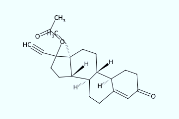 C#CC1(OC(C)=O)CC[C@H]2[C@@H]3CCC4=CC(=O)CC[C@@H]4[C@H]3CC[C@@]21CC